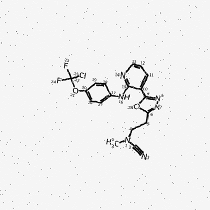 CN(C#N)CCc1nnc(-c2cccnc2Nc2ccc(OC(F)(F)Cl)cc2)o1